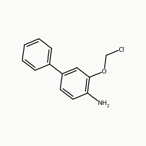 Nc1ccc(-c2ccccc2)cc1OCCl